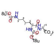 C[C@H](NC(=O)[C@H](CCCCNC(=O)OC(C)(C)C)NC(=O)OC(C)(C)C)C(=O)O